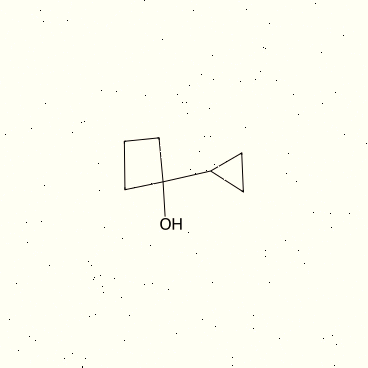 OC1(C2CC2)CCC1